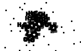 COCCCN1C(=O)COc2ccc(COC3CN(C(=O)OCc4ccccc4)CC(O[Si](C(C)C)(C(C)C)C(C)C)C3c3ccc(O)cc3)cc21